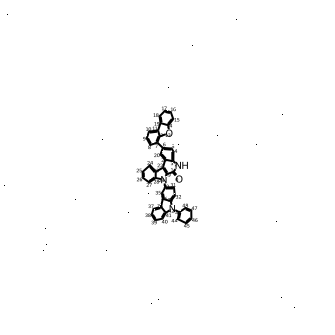 O=c1[nH]c2ccc(-c3cccc4c3oc3ccccc34)cc2c2c3ccccc3n(-c3ccc4c(c3)c3ccccc3n4-c3ccccc3)c12